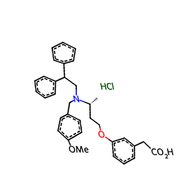 COc1ccc(CN(CC(c2ccccc2)c2ccccc2)[C@H](C)CCOc2cccc(CC(=O)O)c2)cc1.Cl